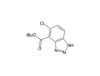 CC(C)COC(=O)c1c(Cl)ccc2[nH]nnc12